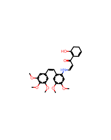 COc1cc(/C=C\c2cc(OC)c(OC)c(OC)c2)c(N/C=C\C(=O)C2=C(O)CCC=C2)cc1OC